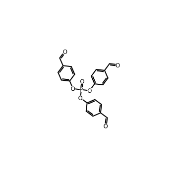 O=Cc1ccc(OP(=O)(Oc2ccc(C=O)cc2)Oc2ccc(C=O)cc2)cc1